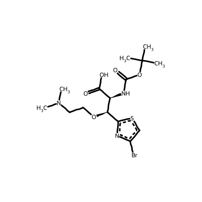 CN(C)CCO[C@H](c1nc(Br)cs1)[C@H](NC(=O)OC(C)(C)C)C(=O)O